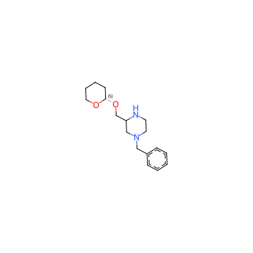 c1ccc(CN2CCNC(CO[C@H]3CCCCO3)C2)cc1